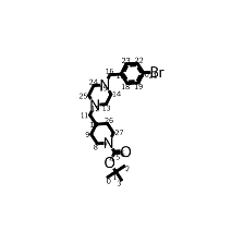 CC(C)(C)OC(=O)N1CCC(CN2CCN(Cc3ccc(Br)cc3)CC2)CC1